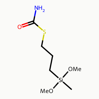 CO[Si](C)(CCCSC(N)=O)OC